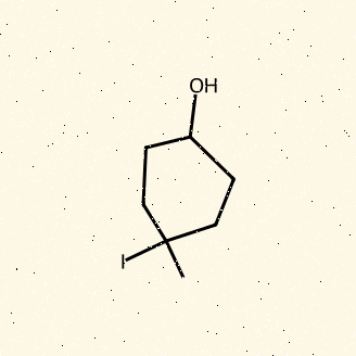 CC1(I)CCC(O)CC1